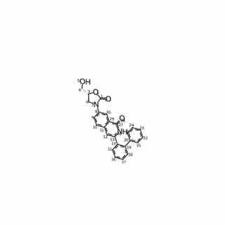 O=C1O[C@@H](CO)CN1c1ccc2cc(-c3ccccc3-c3ccccc3)[nH]c(=O)c2c1